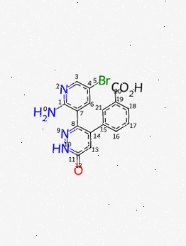 Nc1ncc(Br)cc1-c1n[nH]c(=O)cc1-c1cccc(C(=O)O)c1